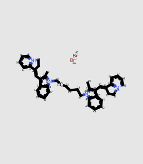 Cc1c(C=C2CC[n+]3ccccc32)c2ccccc2n1CCCCCCn1c(C)c(C=C2CC[n+]3ccccc32)c2ccccc21.[Br-].[Br-]